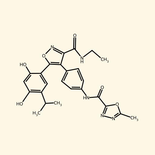 CCNC(=O)c1noc(-c2cc(C(C)C)c(O)cc2O)c1-c1ccc(NC(=O)c2nnc(C)o2)cc1